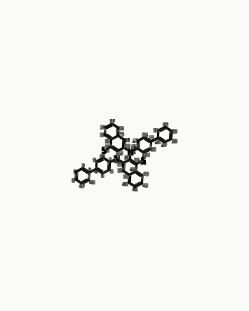 c1ccc(-c2ccc3c(c2)sc2c4c(cc5ccccc52)n2c5ccc(-c6ccccc6)cc5sc5c-2c(cc2ccccc25)n3-4)cc1